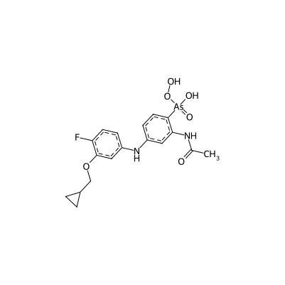 CC(=O)Nc1cc(Nc2ccc(F)c(OCC3CC3)c2)ccc1[As](=O)(O)OO